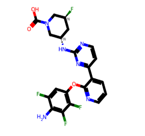 Nc1c(F)cc(Oc2ncccc2-c2ccnc(N[C@H]3C[C@H](F)CN(C(=O)O)C3)n2)c(F)c1F